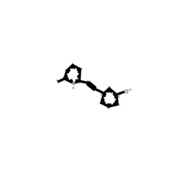 Cc1cccc(C#Cc2cccc(Cl)c2)n1